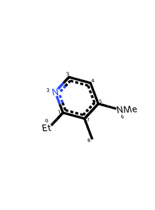 CCc1nccc(NC)c1C